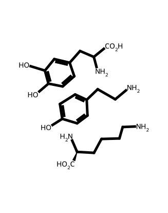 NC(Cc1ccc(O)c(O)c1)C(=O)O.NCCCC[C@H](N)C(=O)O.NCCc1ccc(O)cc1